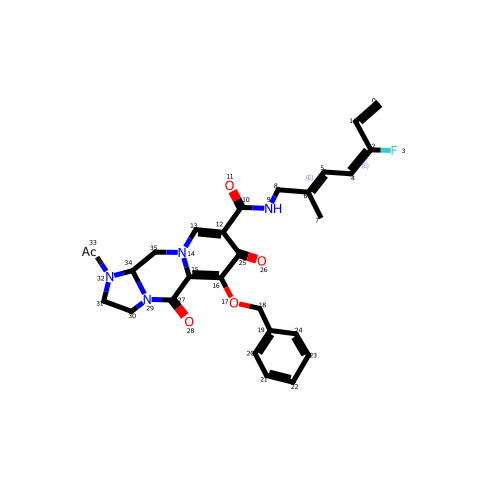 C=C/C(F)=C\C=C(/C)CNC(=O)c1cn2c(c(OCc3ccccc3)c1=O)C(=O)N1CCN(C(C)=O)C1C2